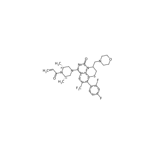 C=CC(=O)N1[C@H](C)CN(c2nc(=O)n3c4c(c(-c5ccc(F)cc5F)c(C(F)(F)F)cc24)SCC3CN2CCOCC2)C[C@@H]1C